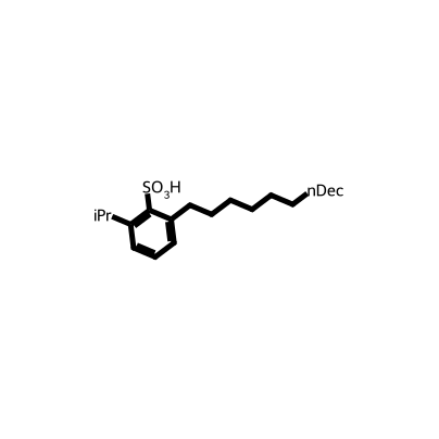 CCCCCCCCCCCCCCCCc1cccc(C(C)C)c1S(=O)(=O)O